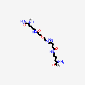 CC(C)NC(CCCCNC(=O)CCOCCn1cc(CCC(=O)NCCCCC(N)C(=O)C(C)C)nn1)C(N)=O